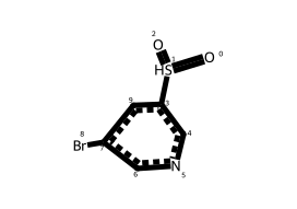 O=[SH](=O)c1cncc(Br)c1